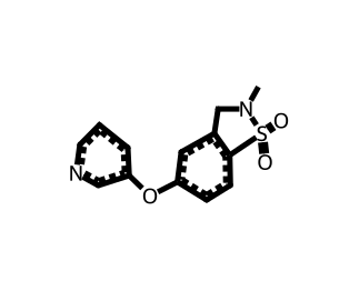 CN1Cc2cc(Oc3cccnc3)ccc2S1(=O)=O